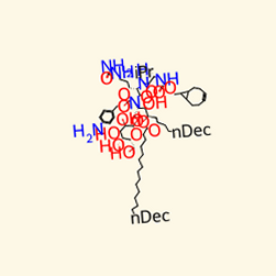 CCCCCCCCCCCCCCCCCCCCCCCC(=O)O[C@H](CCCCCCCCCCCCCC)[C@@H](O)[C@H](CO[C@H]1O[C@H](CO)[C@H](O)[C@H](O)[C@H]1O)N(C(=O)OCc1ccc(N)cc1)C(=O)[C@H](CCCNC(N)=O)NC(=O)[C@@H](NC(=O)OCC1C2CCC#CCCC21)C(C)C